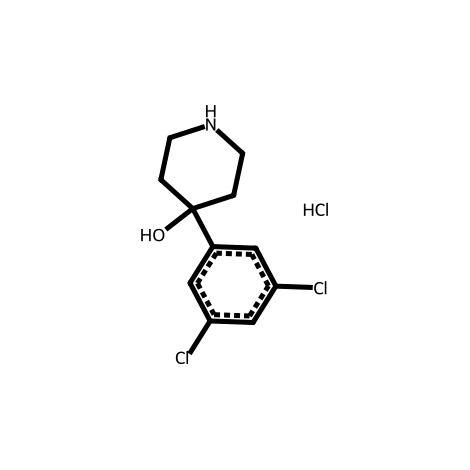 Cl.OC1(c2cc(Cl)cc(Cl)c2)CCNCC1